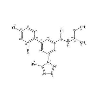 CC(C)c1nnnn1-c1cc(C(=O)N[C@@H](C)CO)cc(-c2ccc(Cl)cc2F)c1